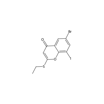 CCSc1cc(=O)c2cc(Br)cc(I)c2o1